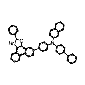 c1ccc(-c2ccc(N(c3ccc(-c4ccc5c(c4)c4c(c6ccccc65)NC(c5ccccc5)O4)cc3)c3ccc4ccccc4c3)cc2)cc1